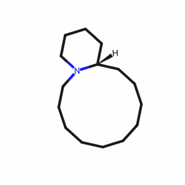 C1CCCCCN2CCCC[C@@H]2CCCC1